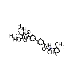 C/C(=C\c1ccccc1C)C(=O)Nc1ccc(-c2ccc(S(=O)(=O)N[C@H](C(=O)O)C(C)C)cc2)cc1